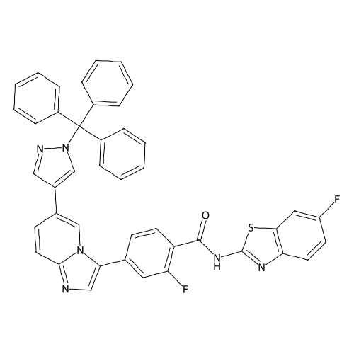 O=C(Nc1nc2ccc(F)cc2s1)c1ccc(-c2cnc3ccc(-c4cnn(C(c5ccccc5)(c5ccccc5)c5ccccc5)c4)cn23)cc1F